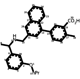 CCCOc1cccc(C(C)NCc2cc(-c3ccc(C)c(C(=O)O)c3)c3ccccc3c2)c1